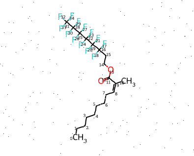 CCCCCCCCC=C(C)C(=O)OCCC(F)(F)C(F)(F)C(F)(F)C(F)(F)C(F)(F)C(F)(F)F